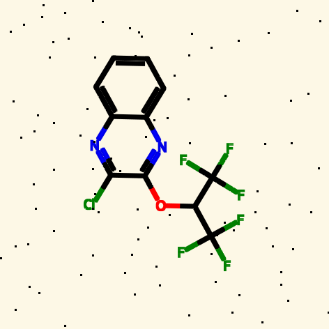 FC(F)(F)C(Oc1nc2ccccc2nc1Cl)C(F)(F)F